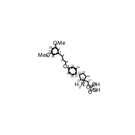 COc1cc(CCCOc2ccc([C@@H]3CC[C@](N)(COP(=O)(O)O)C3)cc2)cc(OC)c1